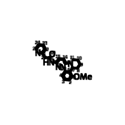 COc1ccccc1C1CCCCN1c1ccc(NC(=O)Cc2ccccn2)nn1